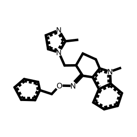 Cc1nccn1CC1CCc2c(c3ccccc3n2C)C1=NOCc1ccccc1